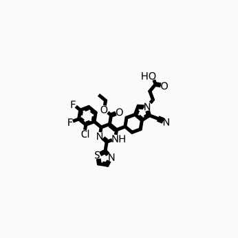 CCOC(=O)C1=C(C2CCc3c(cn(CCC(=O)O)c3C#N)C2)NC(c2nccs2)=NC1c1ccc(F)c(F)c1Cl